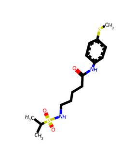 CSc1ccc(NC(=O)CCCCNS(=O)(=O)C(C)C)cc1